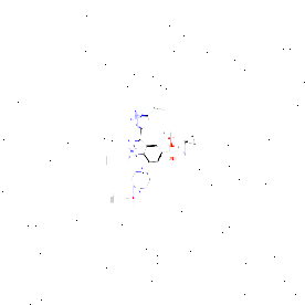 CC(C)C(=O)N1CCN(c2cc(S(=O)(=O)NC3(C#N)CC3)cc3c(-c4nnc(C(F)F)s4)nn(C)c23)CC1